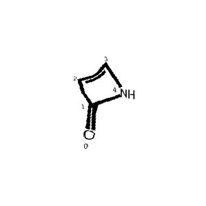 O=C1[C]=CN1